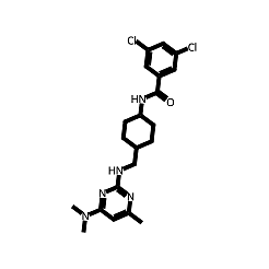 Cc1cc(N(C)C)nc(NCC2CCC(NC(=O)c3cc(Cl)cc(Cl)c3)CC2)n1